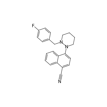 N#Cc1ccc(N2CCCCN2Cc2ccc(F)cc2)c2ccccc12